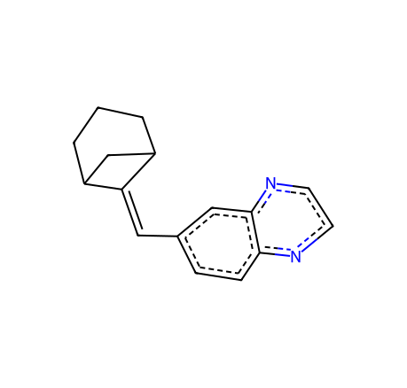 C(=C1C2CCCC1C2)c1ccc2nccnc2c1